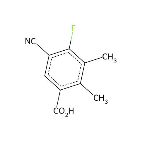 Cc1c(C(=O)O)cc(C#N)c(F)c1C